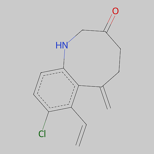 C=Cc1c(Cl)ccc2c1C(=C)CCC(=O)CN2